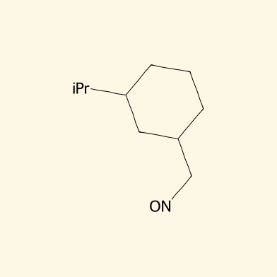 CC(C)C1CCCC(CN=O)C1